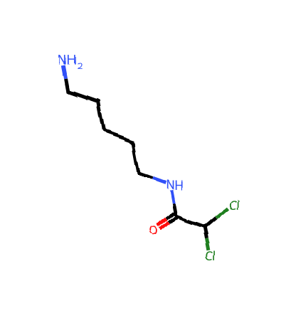 NCCCCCNC(=O)C(Cl)Cl